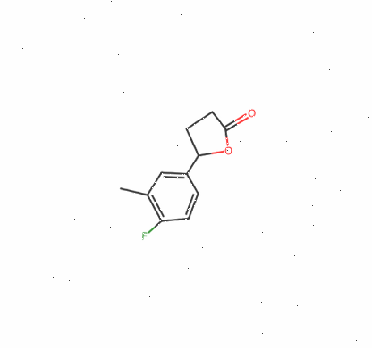 Cc1cc(C2CCC(=O)O2)ccc1F